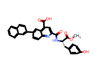 COC(=O)[C@H](Cc1ccc(O)cc1)NC(=O)c1cc(C(=O)O)c2cc(-c3ccc4ccccc4c3)ccc2n1